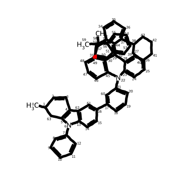 CC1C=Cc2c(n(-c3ccccc3)c3ccc(-c4cccc(N(c5ccccc5-c5cccc6cccc(C7CCCCC7)c56)c5cccc6c5-c5ccccc5C6(C)C)c4)cc23)C1